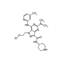 CCOCCn1nc(C(=O)NC2CCNCC2)c2nc(N(C)C)nc(Nc3cc(C)ccn3)c21